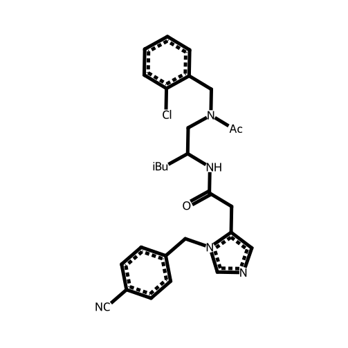 CCC(C)C(CN(Cc1ccccc1Cl)C(C)=O)NC(=O)Cc1cncn1Cc1ccc(C#N)cc1